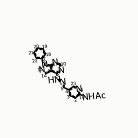 CC(=O)Nc1ccc(/C=N/Nc2ncnc3c2cnn3-c2ccccc2)cn1